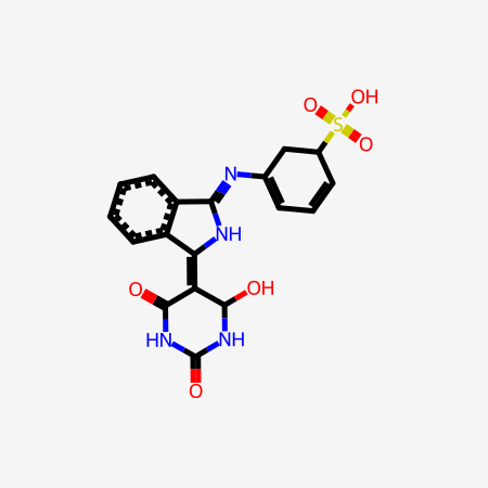 O=C1NC(=O)/C(=C2/N/C(=N\C3=CC=CC(S(=O)(=O)O)C3)c3ccccc32)C(O)N1